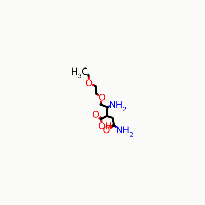 CCOCCOCC(N)C(CC(N)=O)C(=O)O